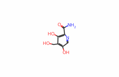 NC(=O)c1ncc(O)c(CO)c1O